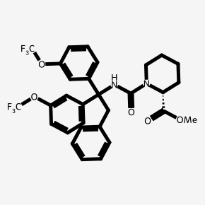 COC(=O)[C@H]1CCCCN1C(=O)NC(Cc1ccccc1)(c1cccc(OC(F)(F)F)c1)c1cccc(OC(F)(F)F)c1